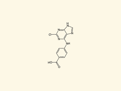 O=C(O)c1ccc(Nc2nc(Cl)nc3[nH]cnc23)cc1